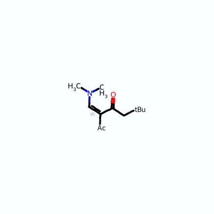 CC(=O)/C(=C/N(C)C)C(=O)CC(C)(C)C